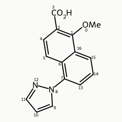 COc1c(C(=O)O)ccc2c(-n3cccn3)cccc12